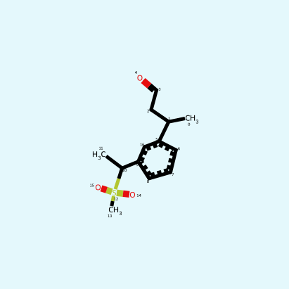 CC(CC=O)c1cccc(C(C)S(C)(=O)=O)c1